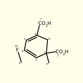 CC1(C(=O)O)C=CC=C(C(=O)O)C1.CF